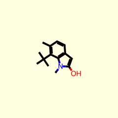 Cc1ccc2cc(O)n(C)c2c1C(C)(C)C